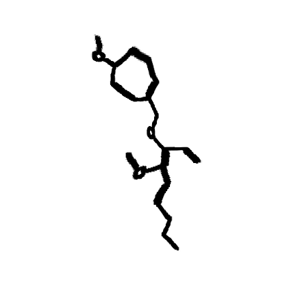 C=C/C(OCC1=CCCC(OC)C=C1)=C(\C=C\CCC)OC